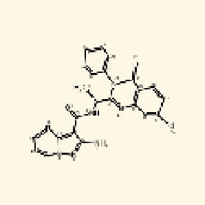 C[C@H](NC(=O)c1c(N)nn2cccnc12)c1nc2cc(Cl)ccc2c(=O)n1-c1ccccc1